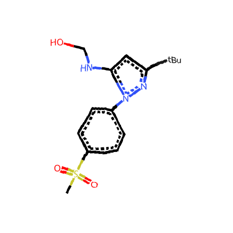 CC(C)(C)c1cc(NCO)n(-c2ccc(S(C)(=O)=O)cc2)n1